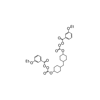 CCOc1cccc(C(=O)OOC(=O)OC2CCC(CC3CCC(OC(=O)OOC(=O)c4cccc(OCC)c4)CC3)CC2)c1